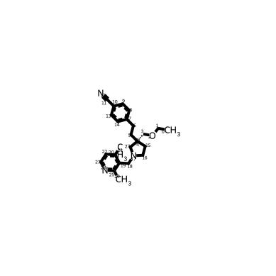 CCOC[C@]1(CCc2ccc(C#N)cc2)CCN(Cc2c(C)ccnc2C)C1